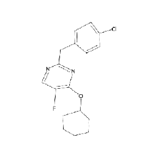 Fc1cnc(Cc2ccc(Cl)cc2)nc1OC1CCCCC1